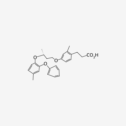 Cc1ccc(O[C@H](C)CCOc2ccc(CCC(=O)O)c(C)c2)c(Oc2ccccc2)c1